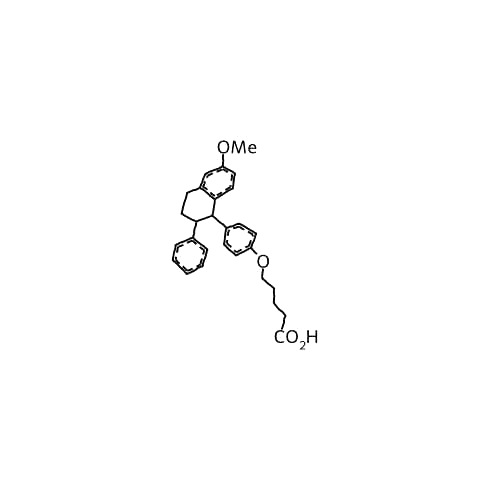 COc1ccc2c(c1)CCC(c1ccccc1)C2c1ccc(OCCCCC(=O)O)cc1